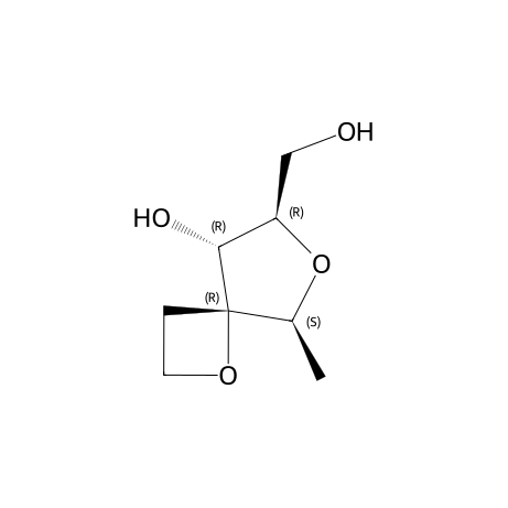 C[C@@H]1O[C@H](CO)[C@@H](O)[C@]12CCO2